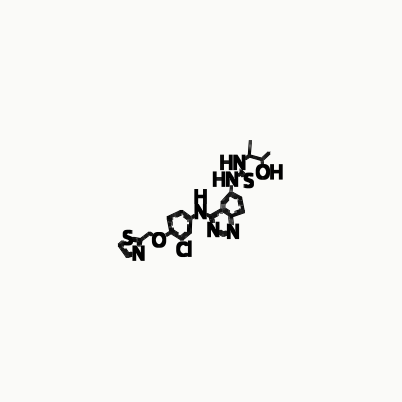 CC(O)C(C)NC(=S)Nc1ccc2ncnc(Nc3ccc(OCc4nccs4)c(Cl)c3)c2c1